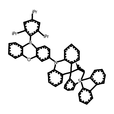 CC(C)c1cc(C(C)C)c(B2c3ccccc3Oc3cc(N4c5ccccc5C5(c6ccccc64)c4ccccc4[Si]4(c6ccccc6-c6ccccc64)c4ccccc45)ccc32)c(C(C)C)c1